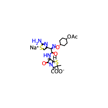 CC(=O)OC1CCC(O/N=C(\C(=O)N[C@@H]2C(=O)N3[C@@H]2SC(C)(C)[C@@H]3C(=O)[O-])c2csc(N)n2)CC1.[Na+]